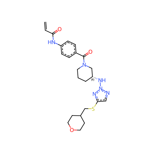 C=CC(=O)Nc1ccc(C(=O)N2CCC[C@@H](Nn3ncc(SCC4CCOCC4)n3)C2)cc1